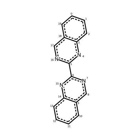 c1ccc2nc(-c3ncc4ccccc4n3)ncc2c1